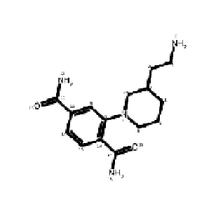 NCCC1CCCN(c2cc(C(N)=O)ccc2C(N)=O)C1